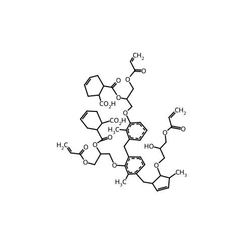 C=CC(=O)OCC(O)COC1C(C)C=CC1Cc1ccc(Cc2cccc(OCC(COC(=O)C=C)OC(=O)C3CC=CCC3C(=O)O)c2C)c(OCC(COC(=O)C=C)OC(=O)C2CC=CCC2C(=O)O)c1C